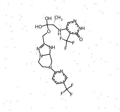 C[C@H](Nc1cn[nH]c(=O)c1C(F)(F)F)C(O)(O)OCC1=NN2CCN(c3ccc(C(F)(F)F)cn3)CC2N1